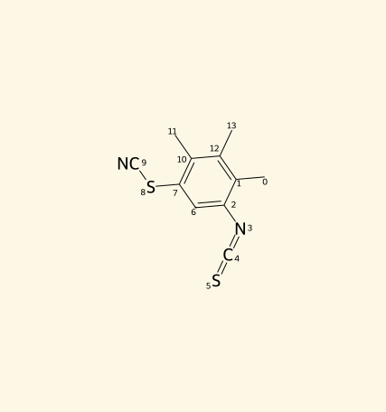 Cc1c(N=C=S)cc(SC#N)c(C)c1C